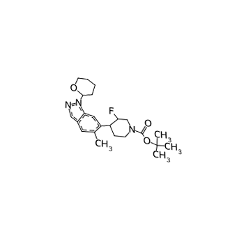 Cc1cc2cnn(C3CCCCO3)c2cc1C1CCN(C(=O)OC(C)(C)C)CC1F